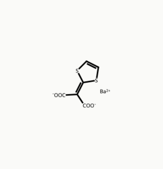 O=C([O-])C(C(=O)[O-])=C1SC=CS1.[Ba+2]